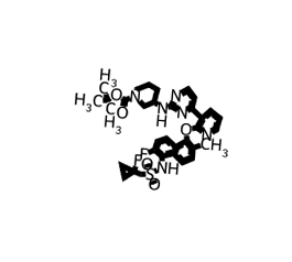 Cc1ccc2c(NS(=O)(=O)CC3(F)CC3)c(F)ccc2c1Oc1ncccc1-c1ccnc(NC2CCCN(C(=O)OC(C)(C)C)C2)n1